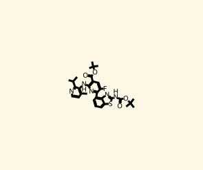 Cc1ccnc(C(C)C)c1Nc1nc(-c2cccc3sc(NC(=O)OC(C)(C)C)nc23)c(F)cc1C(=O)OC(C)(C)C